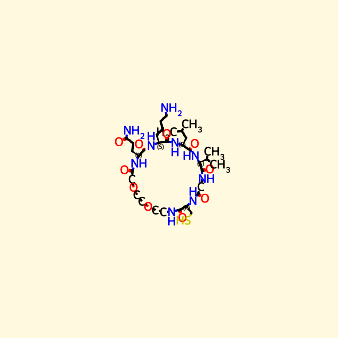 CC(C)C[C@@H]1NC(=O)[C@H](CCCCN)NC(=O)[C@H](CCC(N)=O)NC(=O)COCCOCCNC(=O)[C@H](CS)NC(=O)CNC(=O)[C@H](C(C)C)NC1=O